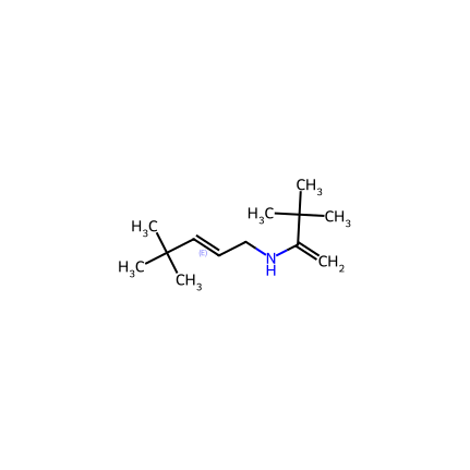 C=C(NC/C=C/C(C)(C)C)C(C)(C)C